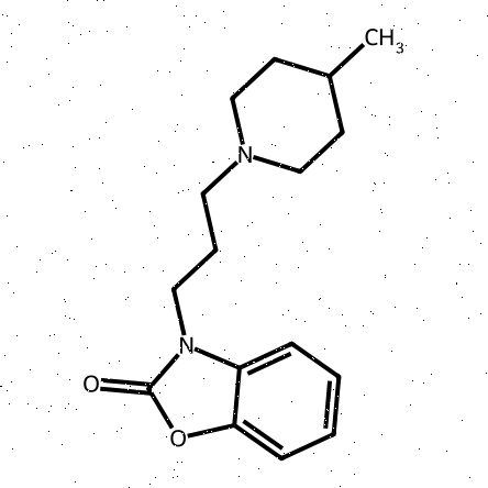 CC1CCN(CCCn2c(=O)oc3ccccc32)CC1